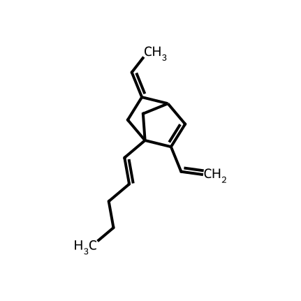 C=CC1=CC2CC1(C=CCCC)CC2=CC